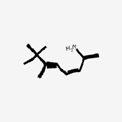 C=C(N)/C=C\C=C(/C)C(C)(C)C